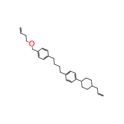 C=CCCOCc1ccc(CCCCc2ccc(C3CCC(CC=C)CC3)cc2)cc1